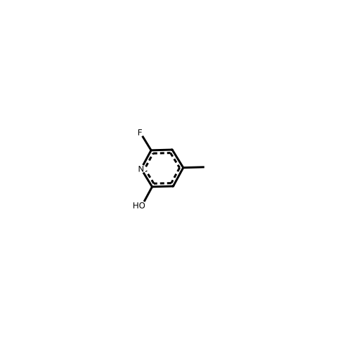 Cc1cc(O)nc(F)c1